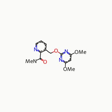 CNC(=O)c1ncccc1COc1nc(OC)cc(OC)n1